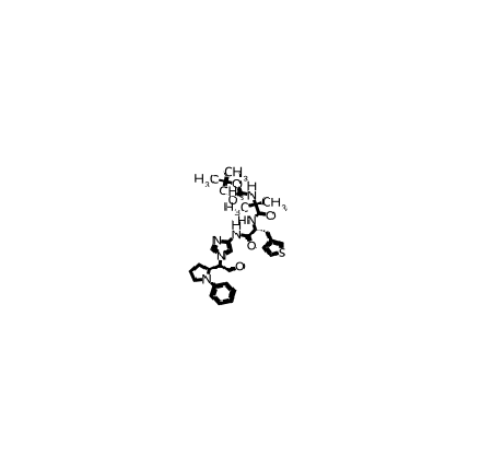 CC(C)(C)OC(=O)NC(C)(C)C(=O)N[C@H](Cc1ccsc1)C(=O)Nc1cn(C(C=O)C2CCCN2c2ccccc2)cn1